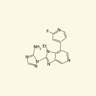 CCn1c(-n2ncnc2N)nc2cncc(-c3ccnc(F)c3)c21